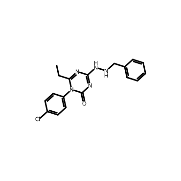 CCc1nc(NNCc2ccccc2)nc(=O)n1-c1ccc(Cl)cc1